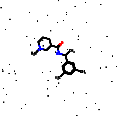 Cc1cc(C)cc(C(C)NC(=O)C2CCCN(C)C2)c1